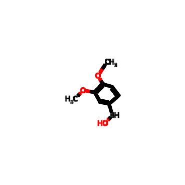 COc1ccc(BO)cc1OC